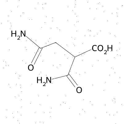 NC(=O)CC(C(N)=O)C(=O)O